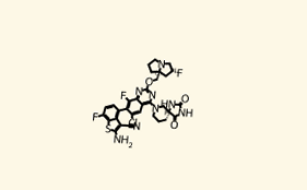 N#Cc1c(N)sc2c(F)ccc(-c3c(Cl)cc4c(N5CCC[C@]6(C5)NC(=O)NC6=O)nc(OC[C@@]56CCCN5C[C@H](F)C6)nc4c3F)c12